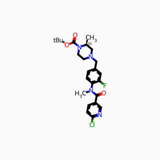 C[C@H]1CN(Cc2ccc(N(C)C(=O)c3ccc(Cl)nc3)c(F)c2)CCN1C(=O)OC(C)(C)C